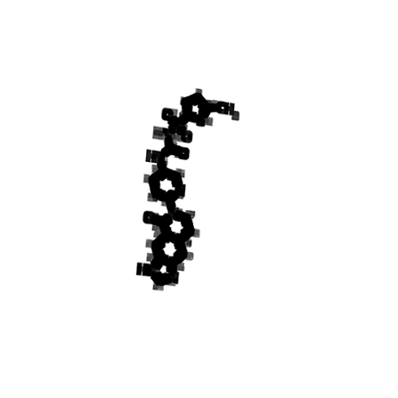 Cc1ccc(S(=O)(=O)NC(=O)Nc2ccc(-n3ccc4cc5nc[nH]c5cc4c3=O)nc2)s1